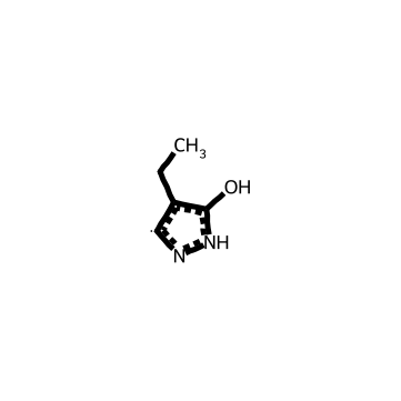 CCc1[c]n[nH]c1O